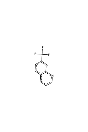 FC(F)(F)c1ccc2cccnc2c1